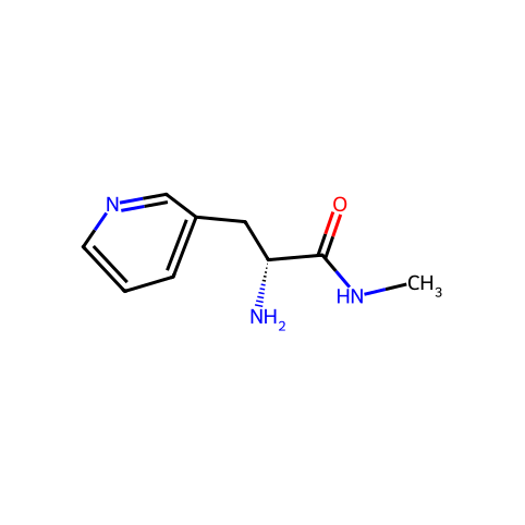 CNC(=O)[C@H](N)Cc1cccnc1